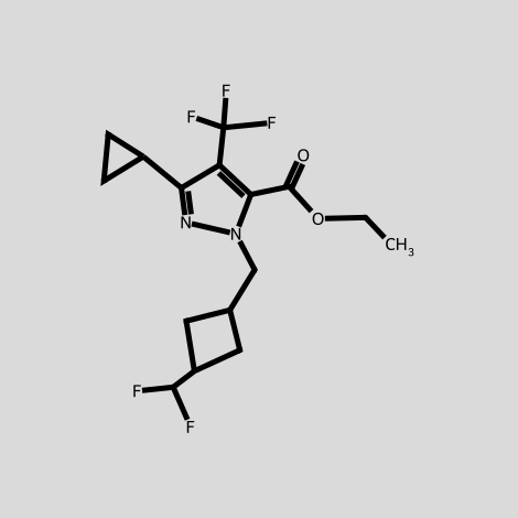 CCOC(=O)c1c(C(F)(F)F)c(C2CC2)nn1CC1CC(C(F)F)C1